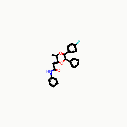 CC(C)/C(=C/C(=O)Nc1ccccc1)OC(C(=O)c1ccc(F)cc1)c1ccccc1